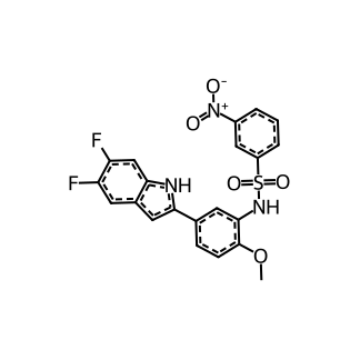 COc1ccc(-c2cc3cc(F)c(F)cc3[nH]2)cc1NS(=O)(=O)c1cccc([N+](=O)[O-])c1